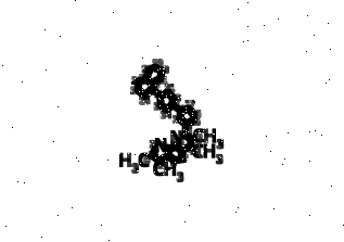 Cc1cnc2c(ccc3c(C)c(C)c(-c4cccc(-c5ccc(-c6cccc7ccccc67)cc5)c4)nc32)c1C